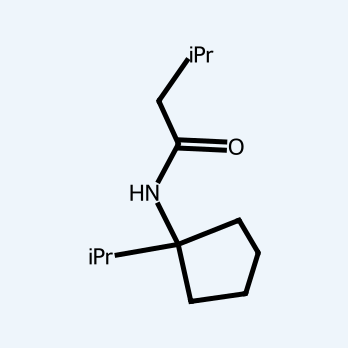 CC(C)CC(=O)NC1(C(C)C)CCCC1